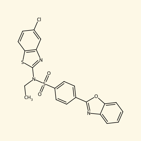 CCN(c1nc2cc(Cl)ccc2s1)S(=O)(=O)c1ccc(-c2nc3ccccc3o2)cc1